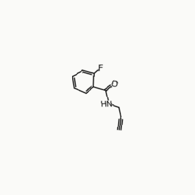 C#CCNC(=O)c1ccccc1F